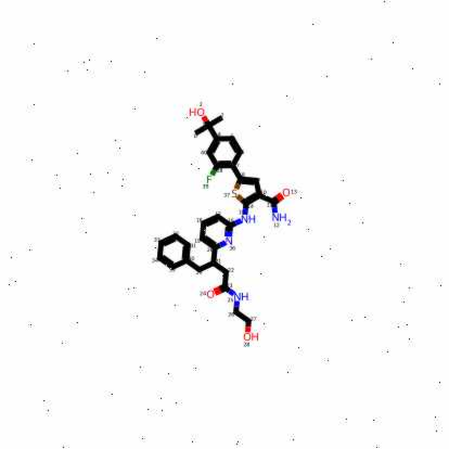 CC(C)(O)c1ccc(-c2cc(C(N)=O)c(Nc3cccc(C(CC(=O)NCCO)Cc4ccccc4)n3)s2)c(F)c1